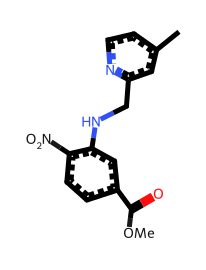 COC(=O)c1ccc([N+](=O)[O-])c(NCc2cc(C)ccn2)c1